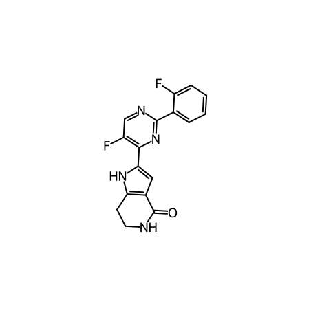 O=C1NCCc2[nH]c(-c3nc(-c4ccccc4F)ncc3F)cc21